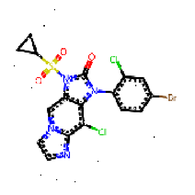 O=c1n(-c2ccc(Br)cc2Cl)c2c(Cl)c3nccn3cc2n1S(=O)(=O)C1CC1